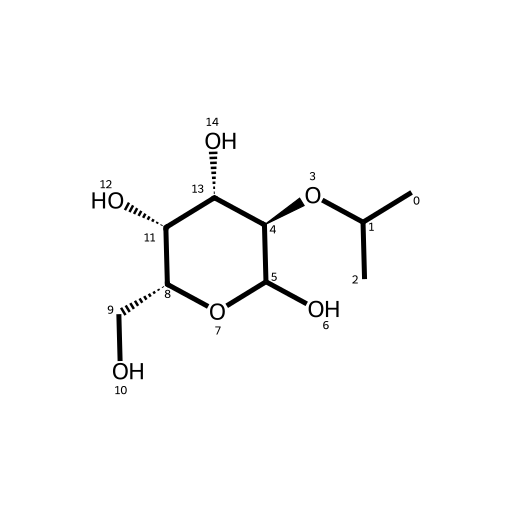 CC(C)O[C@H]1C(O)O[C@H](CO)[C@H](O)[C@@H]1O